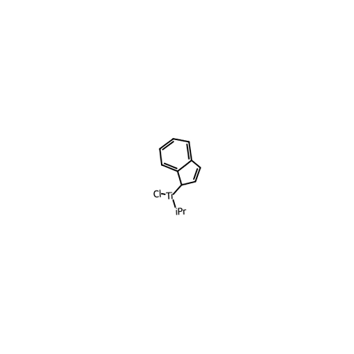 C[CH](C)[Ti]([Cl])[CH]1C=Cc2ccccc21